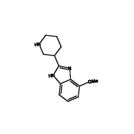 COc1cccc2[nH]c(C3CCCNC3)nc12